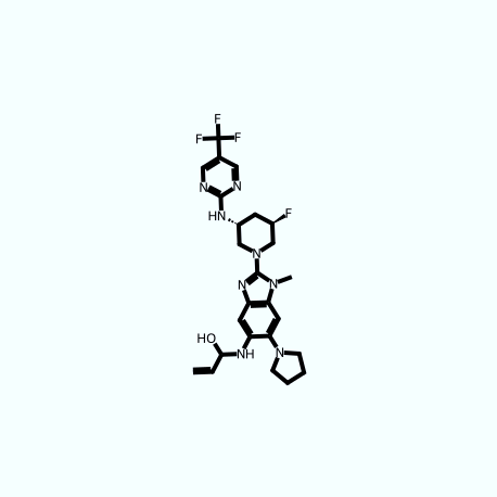 C=CC(O)Nc1cc2nc(N3C[C@H](F)C[C@@H](Nc4ncc(C(F)(F)F)cn4)C3)n(C)c2cc1N1CCCC1